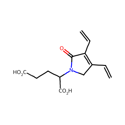 C=CC1=C(C=C)C(=O)N(C(CCC(=O)O)C(=O)O)C1